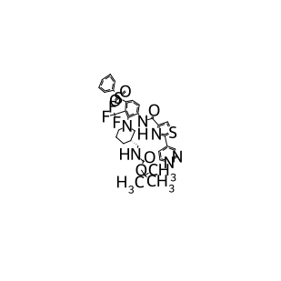 CC(C)(C)OC(=O)NC[C@@H]1CCCN(c2c(NC(=O)c3csc(-c4ccnnc4)n3)ccc(S(=O)(=O)c3ccccc3)c2C(F)(F)F)C1